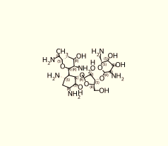 C[C@H](N)[C@@H]1C[C@@H](O)[C@@H](N)[C@@H](C2[C@@H](N)C[C@@H](N)[C@H](O)[C@H]2O[C@@H]2O[C@H](CO)[C@@H](O[C@H]3O[C@@H](CN)[C@@H](O)[C@H](O)[C@H]3N)[C@H]2O)O1